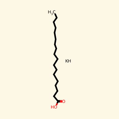 CCCCCCCCCCCCCCCCCC(=O)O.[KH]